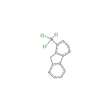 Cl[Si](Cl)(Cl)c1cccc2c1Cc1ccccc1-2